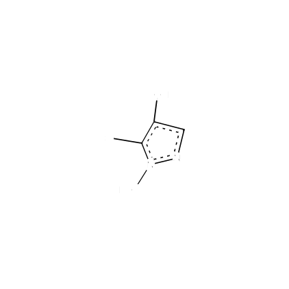 Cn1ncc(O)c1Cl